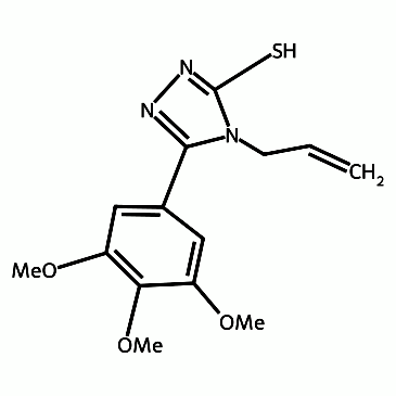 C=CCn1c(S)nnc1-c1cc(OC)c(OC)c(OC)c1